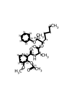 CCCCC[C@@H](OC(=O)[C@H](C)NC(=O)c1nccc(OC)c1OC(C)=O)[C@@H](C)Oc1ccccc1